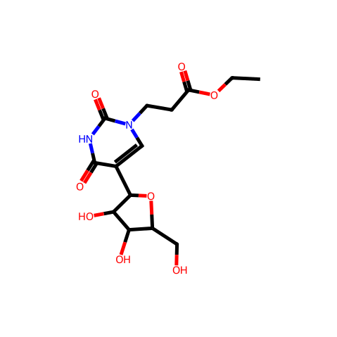 CCOC(=O)CCn1cc(C2OC(CO)C(O)C2O)c(=O)[nH]c1=O